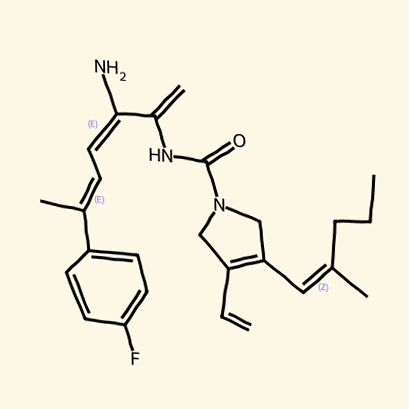 C=CC1=C(/C=C(/C)CCC)CN(C(=O)NC(=C)/C(N)=C\C=C(/C)c2ccc(F)cc2)C1